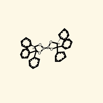 c1ccc([C@H]2OB(B3O[C@H](c4ccccc4)C(c4ccccc4)(c4ccccc4)O3)OC2(c2ccccc2)c2ccccc2)cc1